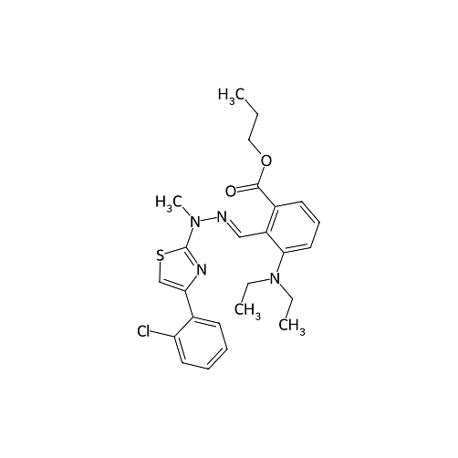 CCCOC(=O)c1cccc(N(CC)CC)c1C=NN(C)c1nc(-c2ccccc2Cl)cs1